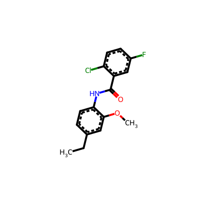 CCc1ccc(NC(=O)c2cc(F)ccc2Cl)c(OC)c1